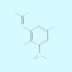 CC(C)=Nc1cc(S(=O)(=O)O)cc(S(=O)O)c1C